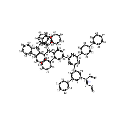 C=C/C=C(\C=C)c1cc(-c2ccccc2)cc(-c2nc(-c3ccc(-c4ccccc4)cc3)nc(-c3cc(-c4ccccc4)c(N(c4ccccc4)c4cccc5c6ccccc6n(-c6ccccc6)c45)c(-c4ccccc4)c3)n2)c1